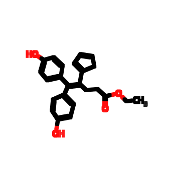 CCOC(=O)CCC(C1=CC=CC1)=C(c1ccc(O)cc1)c1ccc(O)cc1